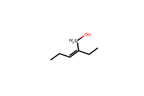 CCC=C(CC)[SiH2]O